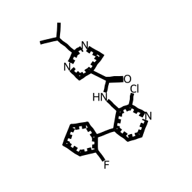 CC(C)c1ncc(C(=O)Nc2c(-c3ccccc3F)ccnc2Cl)cn1